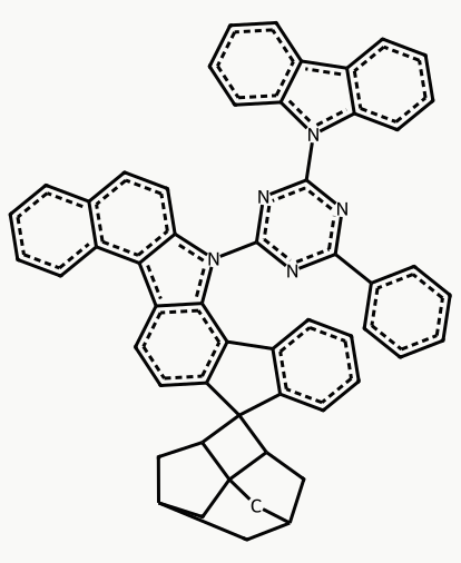 c1ccc(-c2nc(-n3c4ccccc4c4ccccc43)nc(-n3c4ccc5ccccc5c4c4ccc5c(c43)-c3ccccc3C53C4CC5CC6CC3C4(C5)C6)n2)cc1